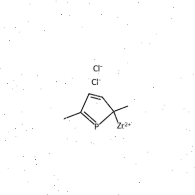 CC1=P[C](C)([Zr+2])C=C1.[Cl-].[Cl-]